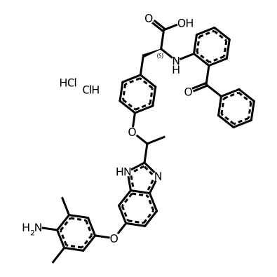 Cc1cc(Oc2ccc3nc(C(C)Oc4ccc(C[C@H](Nc5ccccc5C(=O)c5ccccc5)C(=O)O)cc4)[nH]c3c2)cc(C)c1N.Cl.Cl